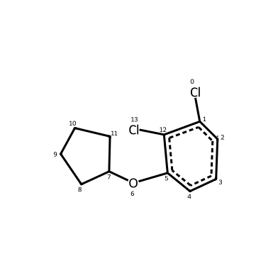 Clc1[c]ccc(OC2CCCC2)c1Cl